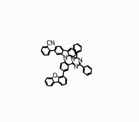 N#Cc1ccccc1-c1ccc2c3ccccc3n(-c3ccc(-c4cccc5c4oc4ccccc45)cc3-c3nc(-c4ccccc4)nc(-c4ccccc4)n3)c2c1